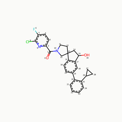 O=C(c1ccc(F)c(Cl)n1)N1CCC2(CC(O)c3cc(-c4ccccc4C4CC4)ccc32)C1